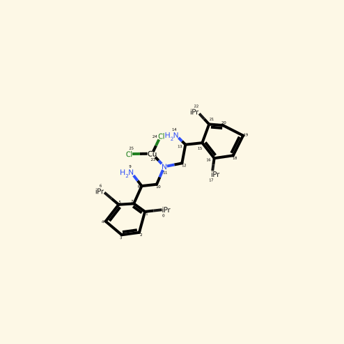 CC(C)c1cccc(C(C)C)c1C(N)C[N](CC(N)c1c(C(C)C)cccc1C(C)C)[Cu]([Cl])[Cl]